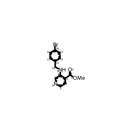 COC(=O)c1ccncc1NCc1ccc(Br)cc1